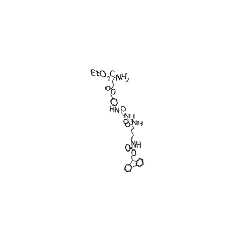 CCOC(=O)[C@H](N)CCC(=O)OCc1ccc(NC(=O)CNC(=O)[C@H](C)NC(=O)CCCCNC(=O)OCC2c3ccccc3-c3ccccc32)cc1